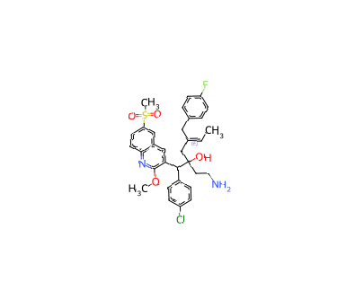 C/C=C(\Cc1ccc(F)cc1)CC(O)(CCN)C(c1ccc(Cl)cc1)c1cc2cc(S(C)(=O)=O)ccc2nc1OC